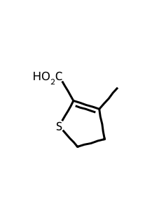 CC1=C(C(=O)O)SCC1